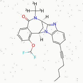 [2H]C([2H])([2H])N1C(=O)c2cccc(OC(F)F)c2[C@H]2C[C@@H]1c1nc3ccc(C#CCCCC)cc3n12